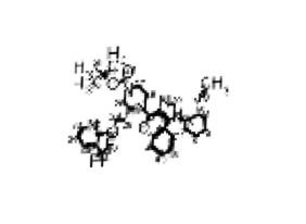 COC[C@@H]1CCCC[C@H]1n1cnc(C(=O)N2CCN(C(=O)OC(C)(C)C)C[C@H]2CCOc2ncccc2C(F)(F)F)c1-c1ccccc1